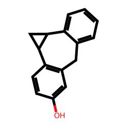 Oc1ccc2c(c1)Cc1ccccc1C1CC21